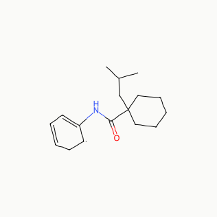 CC(C)CC1(C(=O)NC2=CC=CC[CH]2)CCCCC1